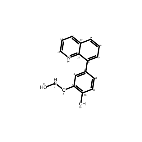 OBOc1cc(-c2cccc3cccnc23)ccc1O